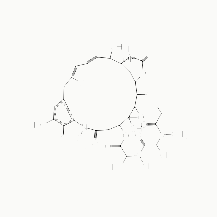 CCC(=O)N(C)C(C)C(=O)N(C)C(C)C(=O)OC1CC(=O)N(C)c2cc(cc(C)c2Cl)C/C(C)=C/C=C/C(C)C2(O)CC(OC(=O)N2)C(C)C2OC12C